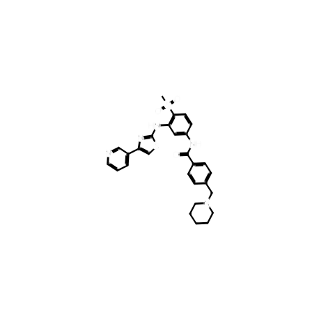 CS(=O)(=O)c1ccc(NC(=O)c2ccc(CN3CCCCC3)cc2)cc1Nc1nc(-c2cccnc2)cs1